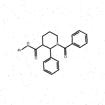 CC(C)NC(=O)C1CCCN(C(=O)c2ccccc2)C1c1ccccc1